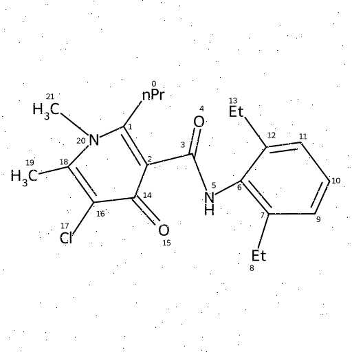 CCCc1c(C(=O)Nc2c(CC)cccc2CC)c(=O)c(Cl)c(C)n1C